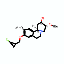 COc1cc2c(cc1OCC1CC1F)CCN1C[C@@H](OC(C)(C)C)[C@H](O)C[C@H]21